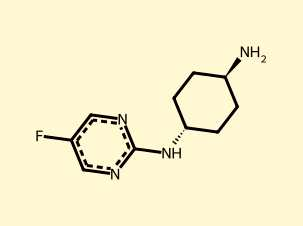 N[C@H]1CC[C@H](Nc2ncc(F)cn2)CC1